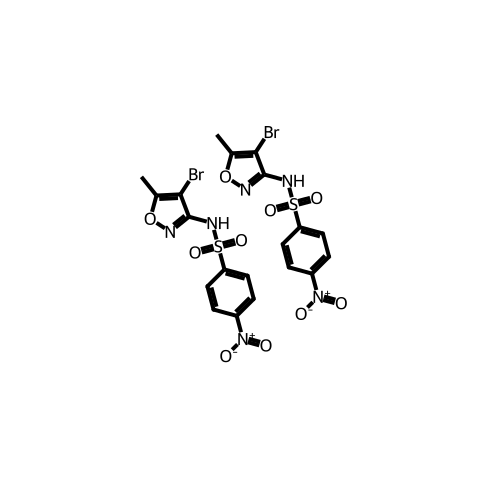 Cc1onc(NS(=O)(=O)c2ccc([N+](=O)[O-])cc2)c1Br.Cc1onc(NS(=O)(=O)c2ccc([N+](=O)[O-])cc2)c1Br